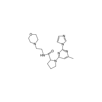 Cc1cc(N2CCCC2C(=O)NCCN2CCOCC2)nc(-n2ccnc2)n1